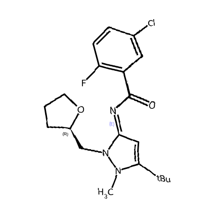 Cn1c(C(C)(C)C)c/c(=N\C(=O)c2cc(Cl)ccc2F)n1C[C@H]1CCCO1